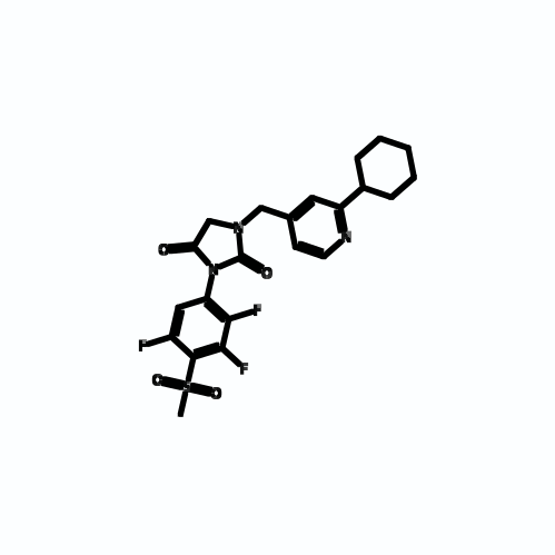 CS(=O)(=O)c1c(F)cc(N2C(=O)CN(Cc3ccnc(C4CCCCC4)c3)C2=O)c(F)c1F